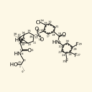 C[C@H](O)CNC(=O)C[C@@]1(O)C2C[C@@H](S(=O)(=O)c3cc(C(=O)Nc4cc(F)c(F)c(F)c4)ccc3Cl)CC1[C@@H](C)C2